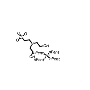 CCCCC[N+](CCCCC)(CCCCC)CCCCC.O=S(=O)([O-])CCN(CCO)CCO